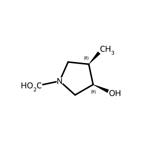 C[C@@H]1CN(C(=O)O)C[C@@H]1O